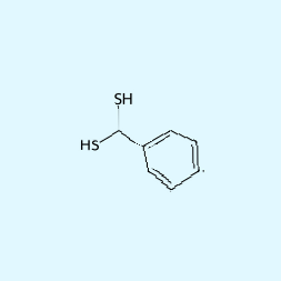 SC(S)c1cc[c]cc1